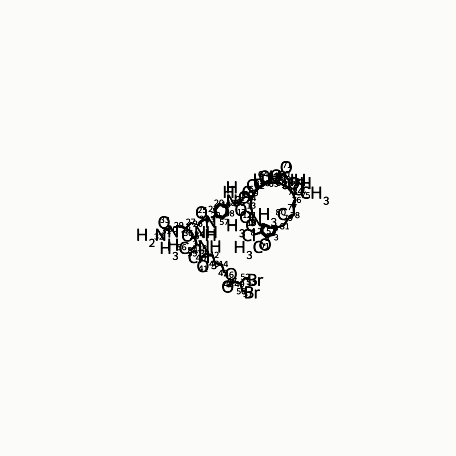 COc1cc2cc(c1Cl)N(C)C(=O)C[C@H](OC(=O)Nc1ccc(NC(=O)[C@H](CCCNC(N)=O)NC(=O)[C@@H](NC(C=O)CCCCOC(=O)C(CBr)CBr)C(C)C)cc1)[C@]1(C)O[C@H]1[C@H](C)[C@@H]1C[C@@](O)(NC(=O)O1)[C@H](OC)/C=C/C=C(\C)C2